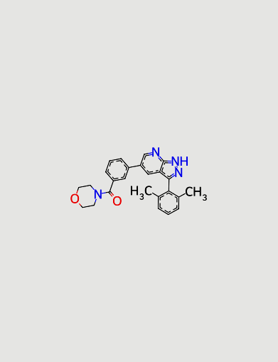 Cc1cccc(C)c1-c1n[nH]c2ncc(-c3cccc(C(=O)N4CCOCC4)c3)cc12